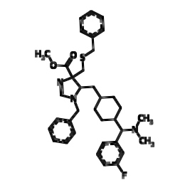 COC(=O)C1(CSCc2ccccc2)N=CN(Cc2ccccc2)C1CC1CCC(C(c2cccc(F)c2)N(C)C)CC1